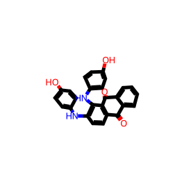 O=C1c2ccccc2C(=O)c2c1ccc(Nc1ccc(O)cc1)c2Nc1ccc(O)cc1